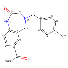 COC(=O)c1ccc2c(c1)CN(Cc1ccc(C(C)C)cc1)CC(=O)N2